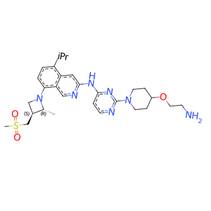 CC(C)c1ccc(N2C[C@H](CS(C)(=O)=O)[C@H]2C)c2cnc(Nc3ccnc(N4CCC(OCCN)CC4)n3)cc12